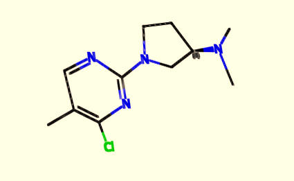 Cc1cnc(N2CC[C@@H](N(C)C)C2)nc1Cl